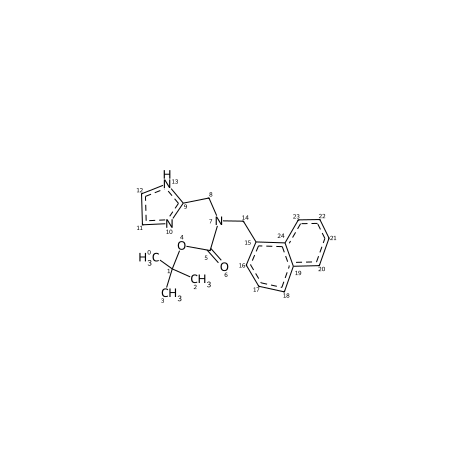 CC(C)(C)OC(=O)N(Cc1ncc[nH]1)Cc1cccc2ccccc12